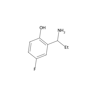 CCC(N)c1cc(F)ccc1O